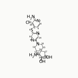 Nc1nccc(Sc2cnc(N3CCC4(CC3)C[C@H](O)[C@@H](O)[C@H]4N)cn2)c1Cl